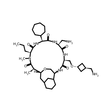 CCC[C@H]1C(=O)N[C@@H](C2CCCCCC2)C(=O)N[C@@H](CN)C(=O)N[C@@H](CO[C@H]2C[C@H](CN)C2)C(=O)N[C@H]2CO[C@H](CC3CCCC2C3)[C@@H](C)C(=O)N1C